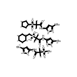 CC(C)(C)c1cc(NC(=O)C(C)(C)S(=O)(=O)C2CCCC2)on1.CC(C)(C)c1cc(NC(=O)C(C)(C)S(=O)(=O)CC2CCCCC2)on1.CCC(C)S(=O)(=O)C(C)(C)C(=O)Nc1cc(C(C)(C)C)no1